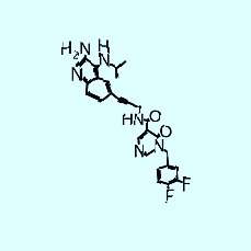 CC(C)Nc1c(N)cnc2ccc(C#CCNC(=O)c3cncn(Cc4ccc(F)c(F)c4)c3=O)cc12